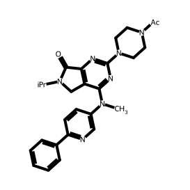 CC(=O)N1CCN(c2nc3c(c(N(C)c4ccc(-c5ccccc5)nc4)n2)CN(C(C)C)C3=O)CC1